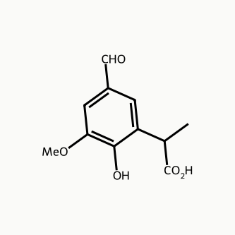 COc1cc(C=O)cc(C(C)C(=O)O)c1O